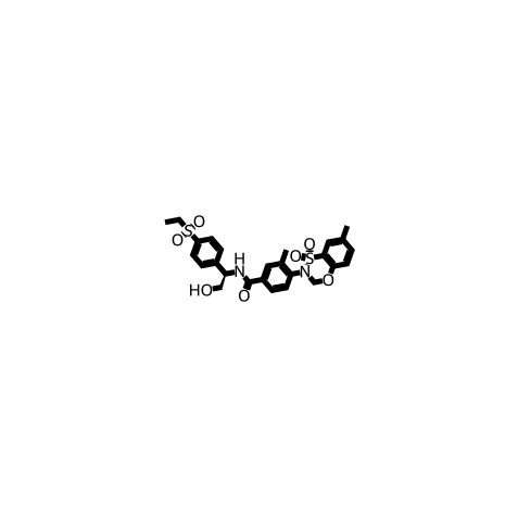 CCS(=O)(=O)c1ccc([C@H](CO)NC(=O)c2ccc(N3COc4ccc(C)cc4S3(=O)=O)c(C)c2)cc1